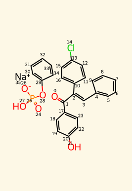 O=C(/C(=C/c1ccccc1)c1ccc(Cl)cc1)c1ccc(O)cc1.O=P([O-])(O)Oc1ccccc1.[Na+]